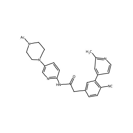 [C-]#[N+]c1ccc(CC(=O)Nc2ccc(N3CCN(C(C)=O)CC3)cn2)cc1-c1ccnc(C)c1